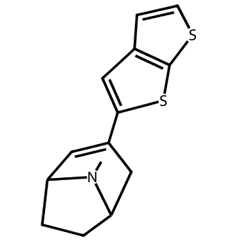 CN1C2C=C(c3cc4ccsc4s3)CC1CC2